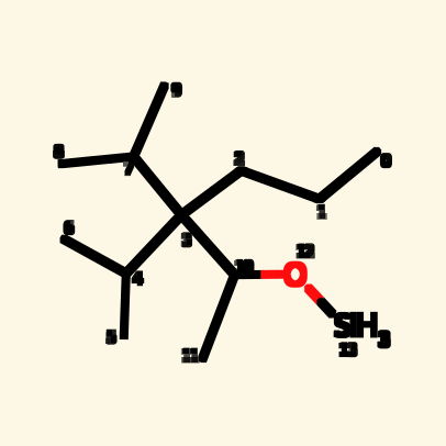 CCCC(C(C)C)(C(C)C)C(C)O[SiH3]